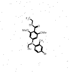 CCC(C)CN(c1cc(OC)c(C(=O)NCC(F)(F)F)c(OC)c1)c1ccc(Br)cc1C